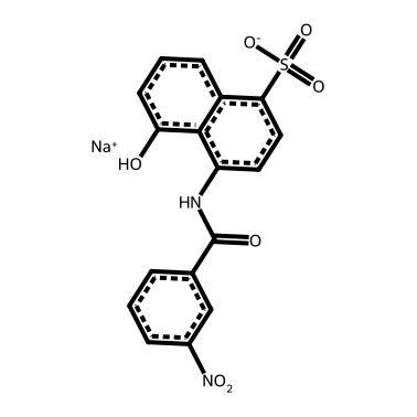 O=C(Nc1ccc(S(=O)(=O)[O-])c2cccc(O)c12)c1cccc([N+](=O)[O-])c1.[Na+]